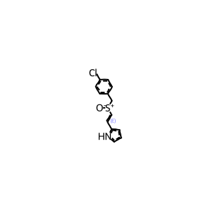 [O-][S+](/C=C/c1ccc[nH]1)Cc1ccc(Cl)cc1